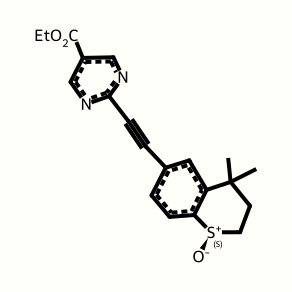 CCOC(=O)c1cnc(C#Cc2ccc3c(c2)C(C)(C)CC[S@@+]3[O-])nc1